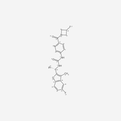 Cc1c([C@@H](NC(=O)Nc2ccc(C(=O)N3CC(F)C3)nc2)C(C)C)oc2ccc(F)cc12